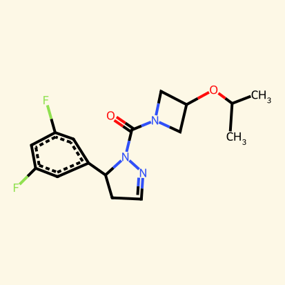 CC(C)OC1CN(C(=O)N2N=CCC2c2cc(F)cc(F)c2)C1